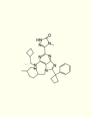 CC1CCC(Cn2c(C3(c4ccccc4)CCC3)nc3nc(-c4n[nH]c(=O)n4C)nc(N[C@H](C)C4CCC4)c32)CC1